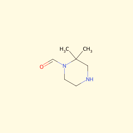 CC1(C)CNCCN1C=O